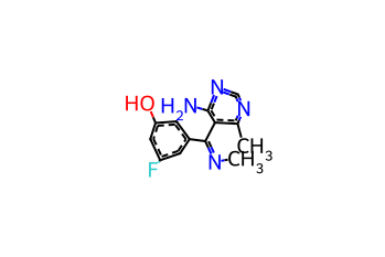 C/N=C(/c1cc(O)cc(F)c1)c1c(C)ncnc1N